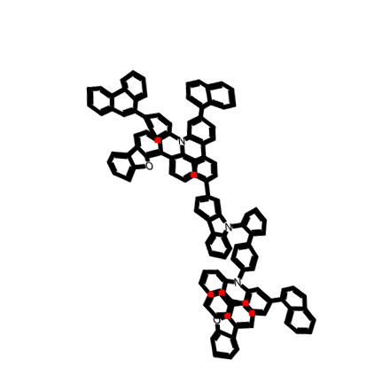 c1ccc(-c2ccc(-c3cccc4ccccc34)cc2N(c2ccc(-c3ccccc3-n3c4ccccc4c4ccc(-c5ccc(-c6ccc(-c7cccc8ccccc78)cc6N(c6ccc(-c7cc8ccccc8c8ccccc78)cc6)c6ccccc6-c6cccc7c6oc6ccccc67)cc5)cc43)cc2)c2ccccc2-c2cccc3c2oc2ccccc23)cc1